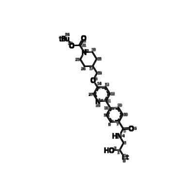 CCC(O)CNC(=O)c1ccc(-c2ccc(OCC3CCN(C(=O)OC(C)(C)C)CC3)cn2)cc1